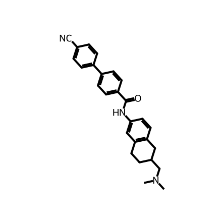 CN(C)CC1CCc2cc(NC(=O)c3ccc(-c4ccc(C#N)cc4)cc3)ccc2C1